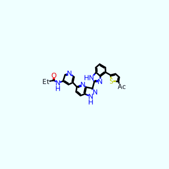 CCC(=O)Nc1cncc(-c2ccc3[nH]nc(-c4nc5c(-c6ccc(C(C)=O)s6)cccc5[nH]4)c3n2)c1